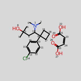 CN(C)C(CC(C)(C)O)C1(c2ccc(Cl)cc2)CCC1.O=C(O)/C=C\C(=O)O